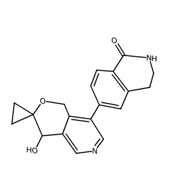 O=C1NCCc2cc(-c3cncc4c3COC3(CC3)C4O)ccc21